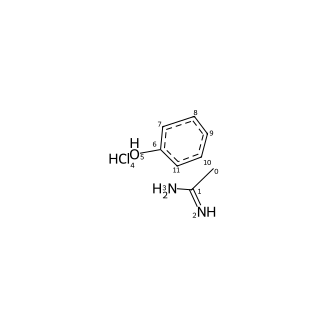 CC(=N)N.Cl.Oc1ccccc1